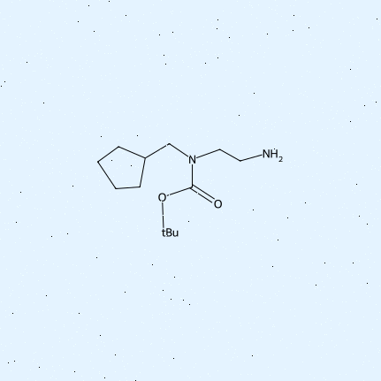 CC(C)(C)OC(=O)N(CCN)CC1CCCC1